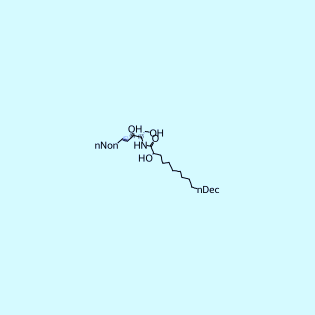 CCCCCCCCC/C=C/[C@@H](O)[C@H](CO)NC(=O)C(O)CCCCCCCCCCCCCCCCCC